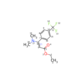 CCOC(=O)/C=C(\c1ccc(C(F)(F)F)cc1)N(C)C